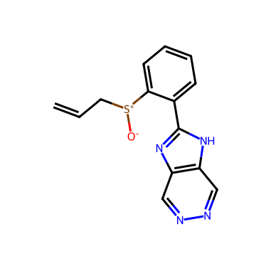 C=CC[S+]([O-])c1ccccc1-c1nc2cnncc2[nH]1